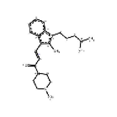 CCCCN1CCN(C(=O)/C=C/c2c(C)n(CCCN(C)C)c3ccccc23)CC1